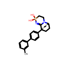 N#Cc1cccc(-c2ccc(C34CCC(CC3)N3CCS(O)(O)N=C34)cc2)c1